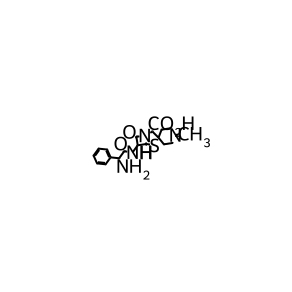 CN1CCC2(CC1)S[C@H]1C(NC(=O)C(N)c3ccccc3)C(=O)N1C2C(=O)O